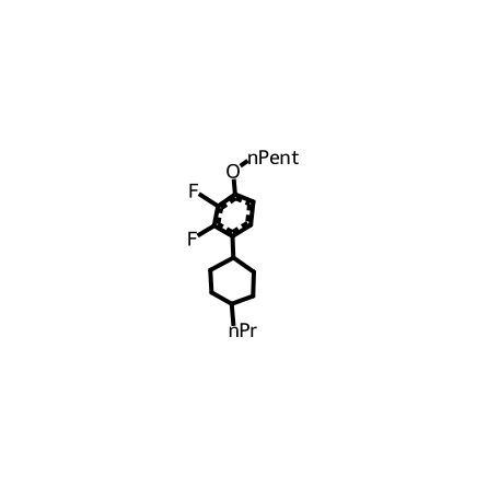 CCCCCOc1ccc(C2CCC(CCC)CC2)c(F)c1F